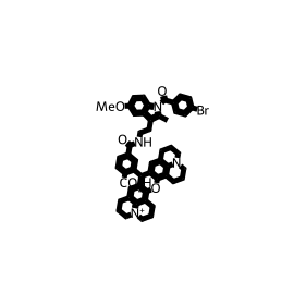 COc1ccc2c(c1)c(CCNC(=O)c1ccc(C(=O)O)c(C3=c4cc5c6c(c4Oc4c3cc3c7c4CCCN7CCC3)CCC[N+]=6CCC5)c1)c(C)n2C(=O)c1ccc(Br)cc1